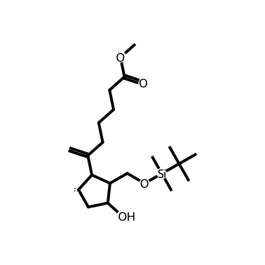 C=C(CCCCC(=O)OC)C1[C]CC(O)C1CO[Si](C)(C)C(C)(C)C